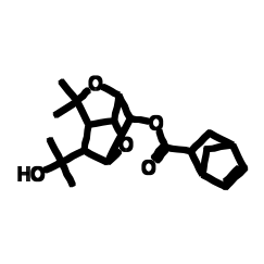 CC(C)(O)C1C2OC3C(OC(C)(C)C31)C2OC(=O)C1CC2C=CC1C2